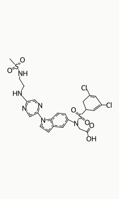 CS(=O)(=O)NCCNc1cnc(-n2ccc3cc(N(CC(=O)O)S(=O)(=O)C4C=C(Cl)C=C(Cl)C4)ccc32)cn1